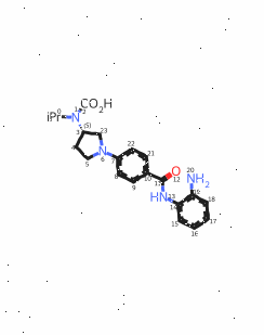 CC(C)N(C(=O)O)[C@H]1CCN(c2ccc(C(=O)Nc3ccccc3N)cc2)C1